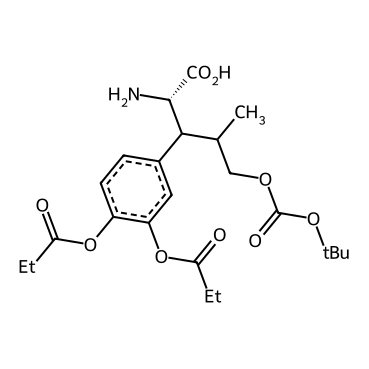 CCC(=O)Oc1ccc(C(C(C)COC(=O)OC(C)(C)C)[C@H](N)C(=O)O)cc1OC(=O)CC